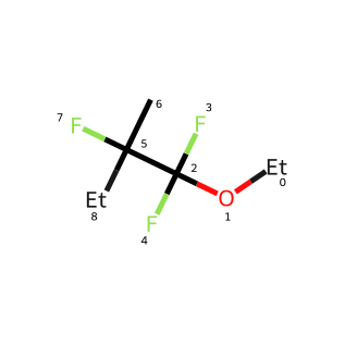 CCOC(F)(F)C(C)(F)CC